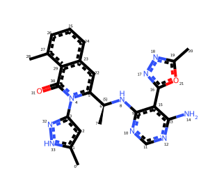 Cc1cc(-n2c([C@H](C)Nc3ncnc(N)c3-c3nnc(C)o3)cc3cccc(C)c3c2=O)n[nH]1